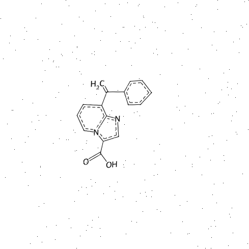 C=C(c1ccccc1)c1cccn2c(C(=O)O)cnc12